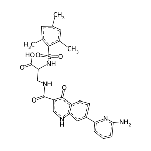 Cc1cc(C)c(S(=O)(=O)NC(CNC(=O)c2c[nH]c3cc(-c4cccc(N)n4)ccc3c2=O)C(=O)O)c(C)c1